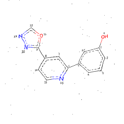 Oc1cccc(-c2cc(-c3nnco3)ccn2)c1